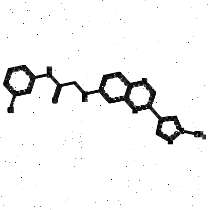 Cn1cc(-c2cnc3ccc(NCC(=O)Nc4cccc(Cl)c4)cc3n2)cn1